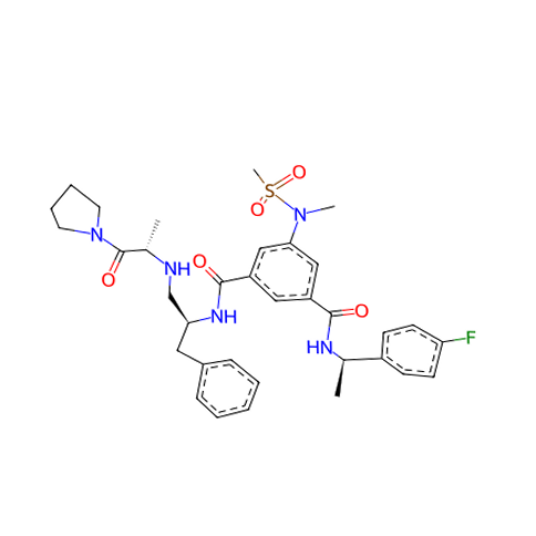 C[C@H](NC[C@H](Cc1ccccc1)NC(=O)c1cc(C(=O)N[C@H](C)c2ccc(F)cc2)cc(N(C)S(C)(=O)=O)c1)C(=O)N1CCCC1